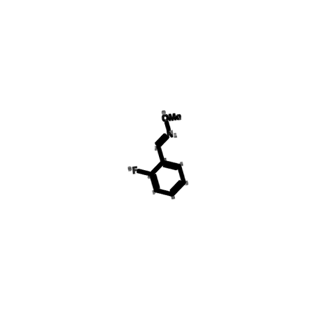 CON=Cc1c[c]ccc1F